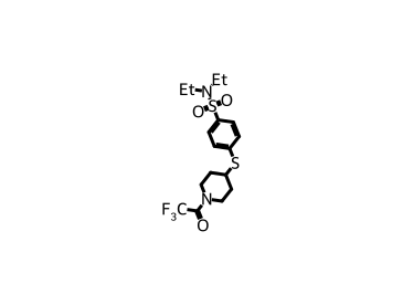 CCN(CC)S(=O)(=O)c1ccc(SC2CCN(C(=O)C(F)(F)F)CC2)cc1